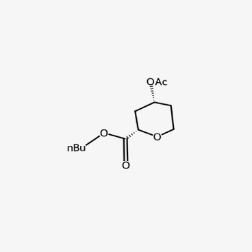 CCCCOC(=O)[C@@H]1C[C@H](OC(C)=O)CCO1